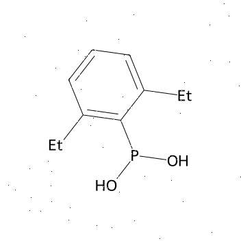 CCc1cccc(CC)c1P(O)O